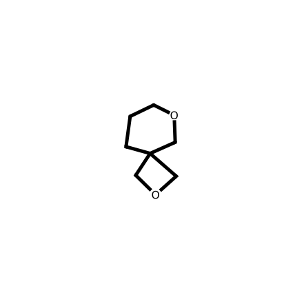 C1COCC2(C1)COC2